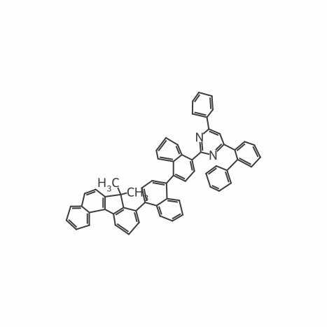 CC1(C)c2ccc3ccccc3c2-c2cccc(-c3ccc(-c4ccc(-c5nc(-c6ccccc6)cc(-c6ccccc6-c6ccccc6)n5)c5ccccc45)c4ccccc34)c21